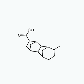 CC1CCC2CC1C1C3CC(CC3C(=O)O)C21